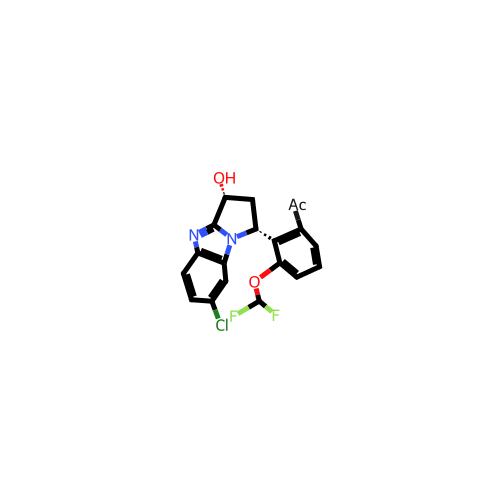 CC(=O)c1cccc(OC(F)F)c1[C@H]1C[C@@H](O)c2nc3ccc(Cl)cc3n21